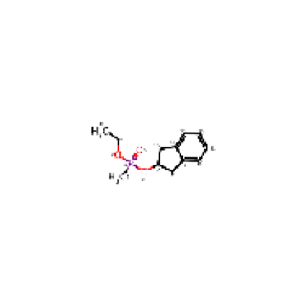 CCOP(C)(=O)OC1Cc2ccccc2C1